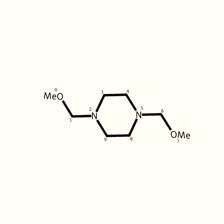 COCN1CCN(COC)CC1